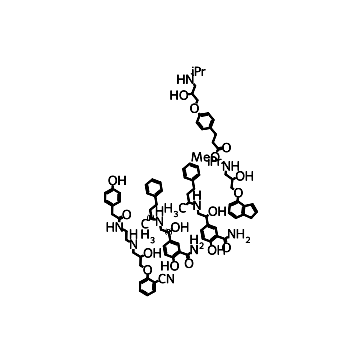 CC(C)NCC(O)COc1cccc2c1C=CC2.CC(CCc1ccccc1)NCC(O)c1ccc(O)c(C(N)=O)c1.COC(=O)CCc1ccc(OCC(O)CNC(C)C)cc1.C[C@H](CCc1ccccc1)NC[C@H](O)c1ccc(O)c(C(N)=O)c1.N#Cc1ccccc1OCC(O)CNCCNC(=O)Cc1ccc(O)cc1